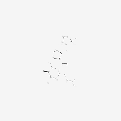 C=C1C(C[C@@H]2O[C@H](C[C@H]3COC(C)(C)O3)[C@H](C)[C@H]2CBr)O[C@@H](CCCC)C[C@H]1C